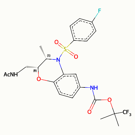 CC(=O)NC[C@H]1Oc2ccc(NC(=O)OC(C)(C)C(F)(F)F)cc2N(S(=O)(=O)c2ccc(F)cc2)[C@H]1C